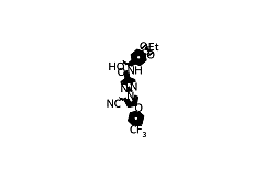 CCS(=O)(=O)c1ccc([C@H](CO)NC(=O)c2cnc(N3C[C@H](Oc4ccc(C(F)(F)F)cc4)C[C@H]3CC#N)nc2)cc1